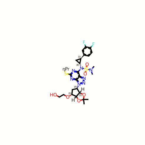 CCCSc1nc(N([C@@H]2C[C@H]2c2ccc(F)c(F)c2)S(=O)(=O)N(C)C)c2nnn([C@@H]3C[C@H](OCCO)[C@H]4OC(C)(C)O[C@H]43)c2n1